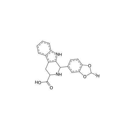 [2H]C1Oc2ccc(C3NC(C(=O)O)Cc4c3[nH]c3ccccc43)cc2O1